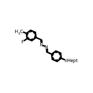 CCCCCCCc1ccc(C=NN=Cc2ccc(C)c(F)c2)cc1